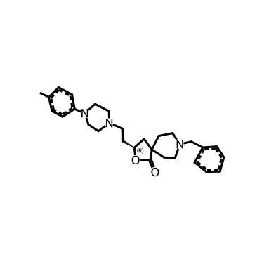 Cc1ccc(N2CCN(CC[C@H]3CC4(CCN(Cc5ccccc5)CC4)C(=O)O3)CC2)cc1